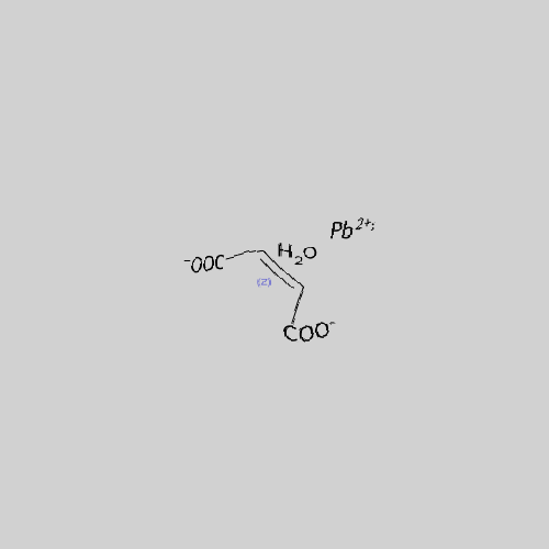 O.O=C([O-])/C=C\C(=O)[O-].[Pb+2]